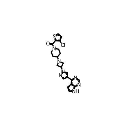 O=C(c1sccc1Cl)N1CCC(N2C[C](n3cc(-c4ncnc5[nH]ccc45)cn3)C2)CC1